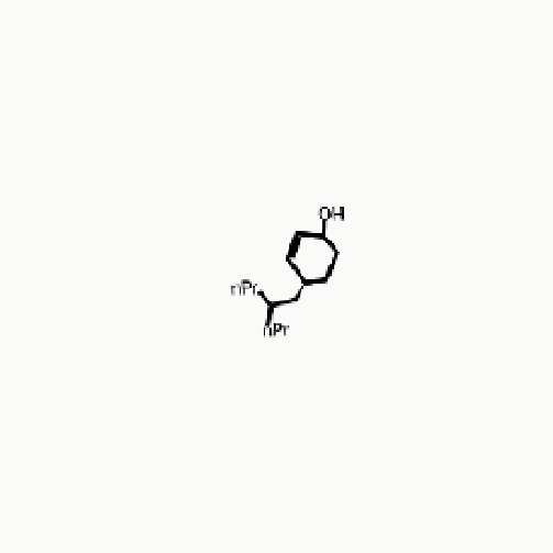 CCCC(CCC)C[C@H]1C=CC(O)CC1